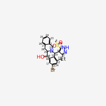 CCc1n[nH]c(S(C)(=O)=O)c1C(c1c(C)cc(Br)cc1C)N1Cc2ccccc2CC1CO